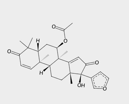 CC(=O)O[C@@H]1C[C@H]2C(C)(C)C(=O)C=C[C@]2(C)[C@H]2CC[C@]3(C)C(=CC(=O)[C@]3(O)c3ccoc3)[C@@]21C